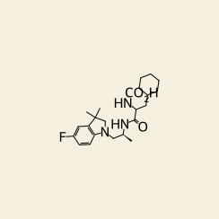 C[C@@H](CN1CC(C)(C)c2cc(F)ccc21)NC(=O)C(CC1CCCCC1)NC(=O)O